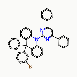 Brc1cccc(C2(c3ccccc3)c3ccccc3N(c3nc(-c4ccccc4)cc(-c4ccccc4)n3)c3ccccc32)c1